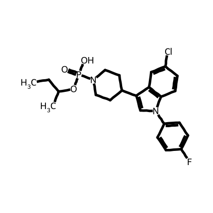 CCC(C)OP(=O)(O)N1CCC(c2cn(-c3ccc(F)cc3)c3ccc(Cl)cc23)CC1